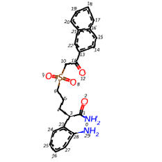 NC(=O)C(CCCS(=O)(=O)CC(=O)c1ccc2ccccc2c1)c1ccccc1N